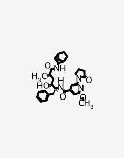 COc1cc(C(=O)N[C@@H](Cc2ccccc2)[C@H](O)C[C@@H](C)C(=O)NC2CC3CCC2C3)cc(N2CCCC2=O)n1